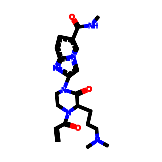 C=CC(=O)N1CCN(c2cn3cc(C(=O)NC)ccc3n2)C(=O)C1CCCN(C)C